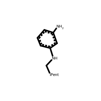 CCCC(C)CNc1cccc(N)c1